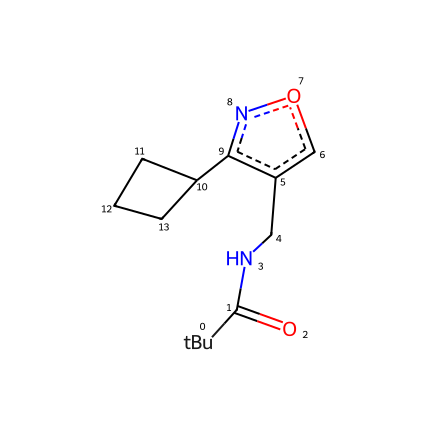 CC(C)(C)C(=O)NCc1conc1C1CCC1